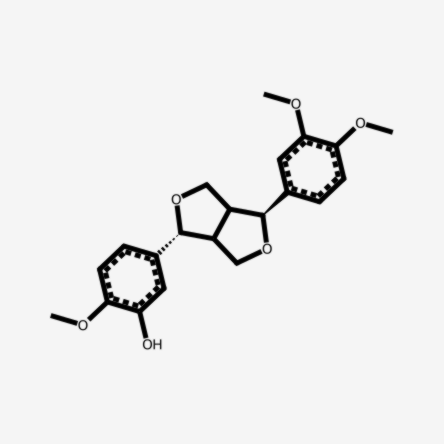 COc1ccc([C@@H]2OCC3C2CO[C@@H]3c2ccc(OC)c(OC)c2)cc1O